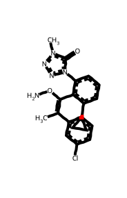 C/C(=C(\ON)c1c(C2CC2)cccc1-n1nnn(C)c1=O)c1cccc(Cl)c1